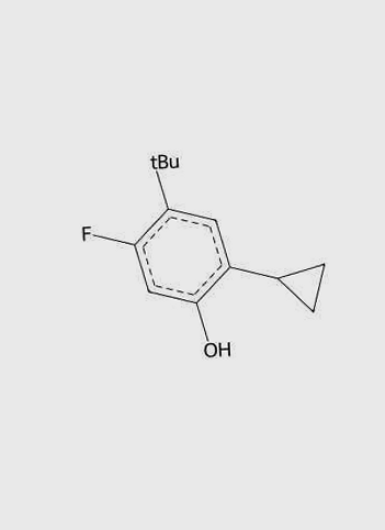 CC(C)(C)c1cc(C2CC2)c(O)cc1F